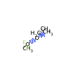 C=C1N(c2ccc(N3CCN(c4cc(F)c(CC)c(F)c4)CC3)cc2)C=NN1C(C)CC